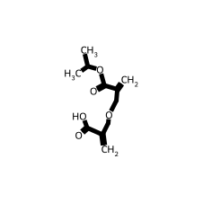 C=C(COCC(=C)C(=O)OC(C)C)C(=O)O